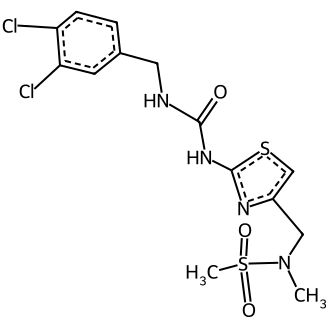 CN(Cc1csc(NC(=O)NCc2ccc(Cl)c(Cl)c2)n1)S(C)(=O)=O